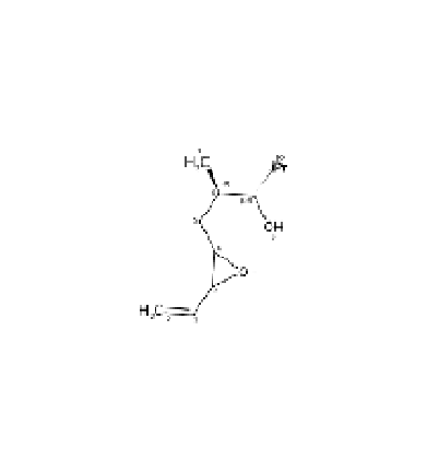 C=CC1OC1C[C@@H](C)[C@@H](O)C(C)C